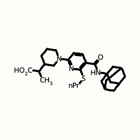 CCCSc1nc(N2CCCC(C(C)C(=O)O)C2)ccc1C(=O)NC12CC3CC(CC(C3)C1)C2